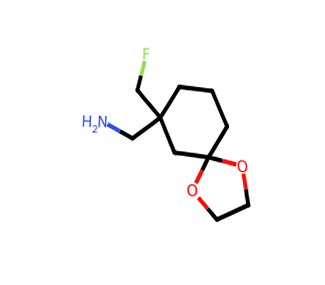 NCC1(CF)CCCC2(C1)OCCO2